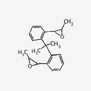 CC1OC1c1[c]cccc1C(C)(C)c1ccc[c]c1C1OC1C